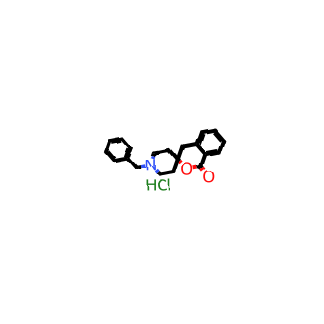 Cl.O=C1OC2(CCN(Cc3ccccc3)CC2)Cc2ccccc21